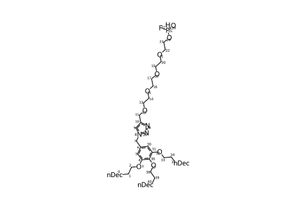 CCCCCCCCCCCCOc1cc(Cn2cc(COCCOCCOCCOCCO[PH](=O)F)nn2)cc(OCCCCCCCCCCCC)c1OCCCCCCCCCCCC